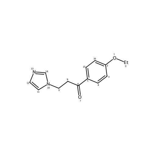 CCOc1ccc(C(=O)CCn2ccnc2)cc1